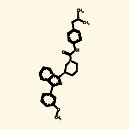 COc1cccc(-c2nc([C@@H]3CCCN(C(=O)Nc4ccc(CN(C)C)cc4)C3)n3ccccc23)c1